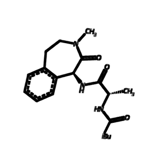 CCC(C)C(=O)N[C@@H](C)C(=O)N[C@@H]1C(=O)N(C)CCc2ccccc21